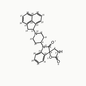 O=C1NCC2(O1)C(=O)N(C1CCN(C3Cc4cccc5cccc3c45)CC1)c1ccccc12